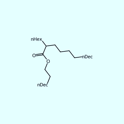 CCCCCCCCCCCCCCC(CCCCCC)C(=O)OCCCCCCCCCCCC